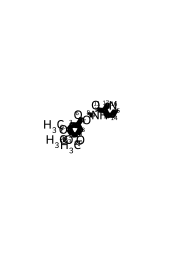 COc1cc(C(=O)OCNC(=O)c2cccnc2)cc(OC)c1OC